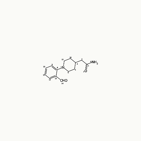 NC(=O)CC1CCN(c2ccccc2C=O)CC1